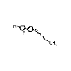 CCCCCCCCOc1ccc(-c2ccc(Br)cc2F)cc1